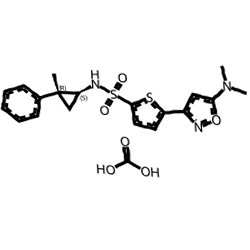 CN(C)c1cc(-c2ccc(S(=O)(=O)N[C@H]3C[C@]3(C)c3ccccc3)s2)no1.O=C(O)O